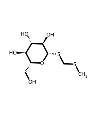 CSCS[C@@H]1O[C@H](CO)[C@@H](O)[C@H](O)[C@H]1O